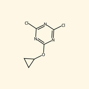 Clc1nc(Cl)nc(OC2CC2)n1